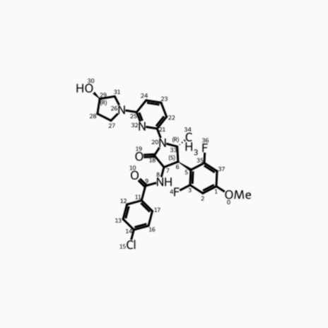 COc1cc(F)c([C@H]2C(NC(=O)c3ccc(Cl)cc3)C(=O)N(c3cccc(N4CC[C@@H](O)C4)n3)[C@@H]2C)c(F)c1